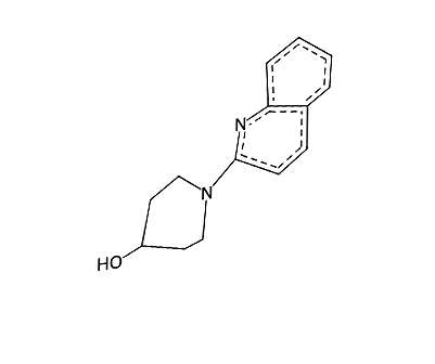 OC1CCN(c2ccc3ccccc3n2)CC1